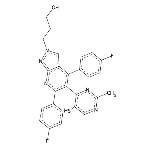 Cc1ncc(S)c(-c2c(-c3ccc(F)cc3)nc3nn(CCCO)cc3c2-c2ccc(F)cc2)n1